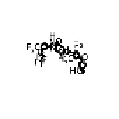 Cc1cc(C(=O)N2CCC(O)(CF)CC2)cc(C)c1/C=C/S(=O)(=O)N1CCC2(CC1)N=C(c1ccc(C(F)(F)F)c(OCC(F)(F)C(F)F)c1)NC2=O